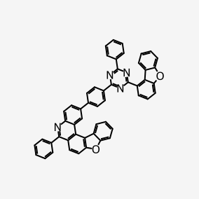 c1ccc(-c2nc(-c3ccc(-c4ccc5nc(-c6ccccc6)c6ccc7oc8ccccc8c7c6c5c4)cc3)nc(-c3cccc4oc5ccccc5c34)n2)cc1